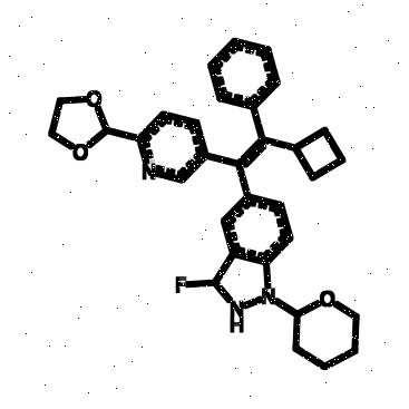 FC1NN(C2CCCCO2)c2ccc(/C(=C(/c3ccccc3)C3CCC3)c3ccc(C4OCCO4)nc3)cc21